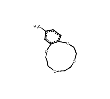 Cc1ccc2c(c1)OCCOCCOCCO2